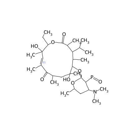 CCC1OC(=O)C(C)C(C(C)C)C(C)C(OC2OC(C)CC(N(C)C)C2P=O)C(C)(O)CC(C)C(=O)/C(C)=C/C1(C)O